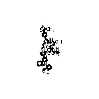 Cc1ncsc1-c1ccc([C@H](CCCCCN2CCC(c3ccc4c(c3)C3(CCCCC3)c3nc(=O)c5c(Cl)cccc5n3-4)CC2)NC(=O)[C@@H]2C[C@@H](O)CN2C(=O)[C@@H](NC(=O)C2(F)CC2)C(C)(C)C)cc1